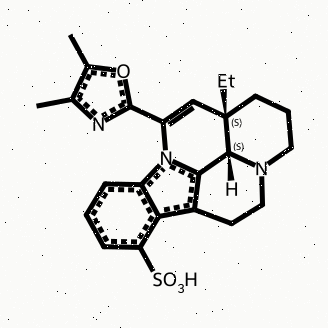 CC[C@@]12C=C(c3nc(C)c(C)o3)n3c4c(c5c(S(=O)(=O)O)cccc53)CCN(CCC1)[C@H]42